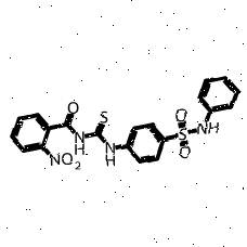 O=C(NC(=S)Nc1ccc(S(=O)(=O)Nc2ccccc2)cc1)c1ccccc1[N+](=O)[O-]